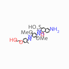 COc1cc(N/N=C2\C(=O)c3ccc(N)cc3C=C2S(=O)(=O)O)c(OC)cc1/N=N/c1ccc(OCCO)cc1C